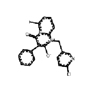 O=c1c(-c2ccccc2)c([O-])[n+](Cc2ccc(Cl)nc2)c2cccc(I)n12